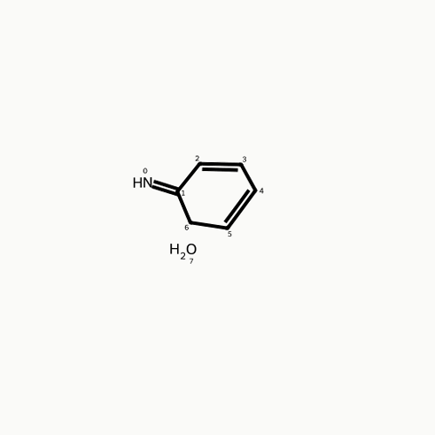 N=C1C=CC=CC1.O